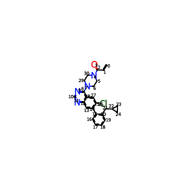 C=CC(=O)N1CCN(c2ncnc3cc(-c4ccccc4CC4CC4)c(Cl)cc23)CC1